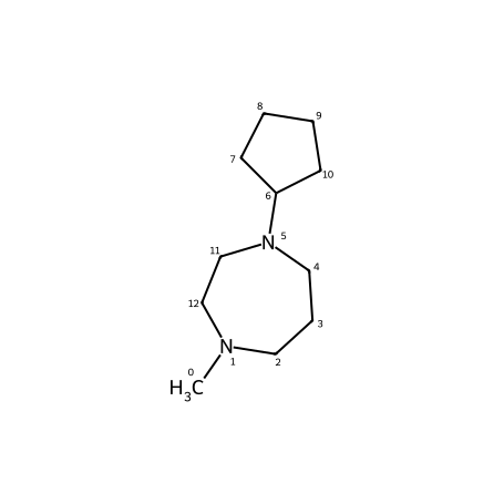 CN1CCCN(C2CCCC2)CC1